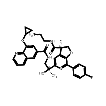 C[C@]1(C(=O)NCCN)COc2c1cc([C@@](O)(CNC(=O)c1cc(OC3CC3)c3ncccc3c1)C(F)(F)F)nc2-c1ccc(F)cc1